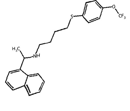 CC(NCCCCSc1ccc(OC(F)(F)F)cc1)c1cccc2ccccc12